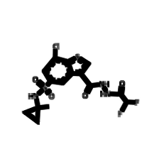 CC1(NS(=O)(=O)c2cc(Cl)c3scc(C(=O)NNC(=O)C(F)F)c3c2)CC1